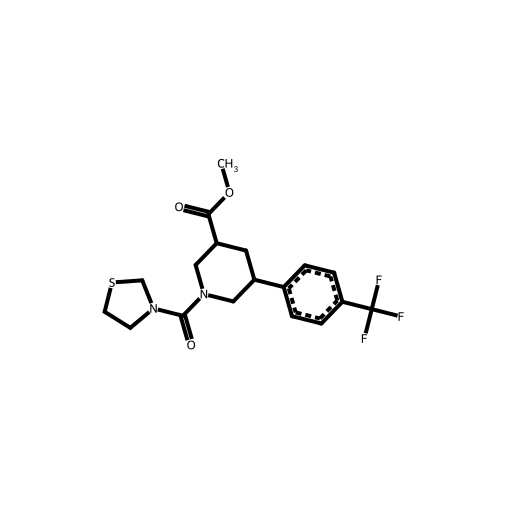 COC(=O)C1CC(c2ccc(C(F)(F)F)cc2)CN(C(=O)N2CCSC2)C1